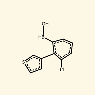 OBc1cccc(Cl)c1-c1ccsc1